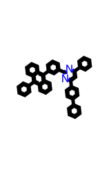 c1ccc(-c2ccc(-c3cc(-c4ccccc4)nc(-c4cccc(-c5c6ccccc6c(-c6ccccc6)c6ccccc56)c4)n3)cc2)cc1